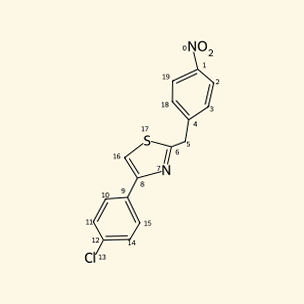 O=[N+]([O-])c1ccc(Cc2nc(-c3ccc(Cl)cc3)cs2)cc1